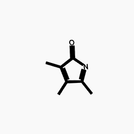 CC1=NC(=O)C(C)=C1C